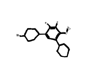 CCCC1CCC(c2cc(C3CCCCC3)c(OCC)c(F)c2F)CC1